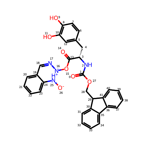 O=C(N[C@@H](Cc1ccc(O)c(O)c1)C(=O)ON1N=Cc2ccccc2[NH+]1[O-])OCC1c2ccccc2-c2ccccc21